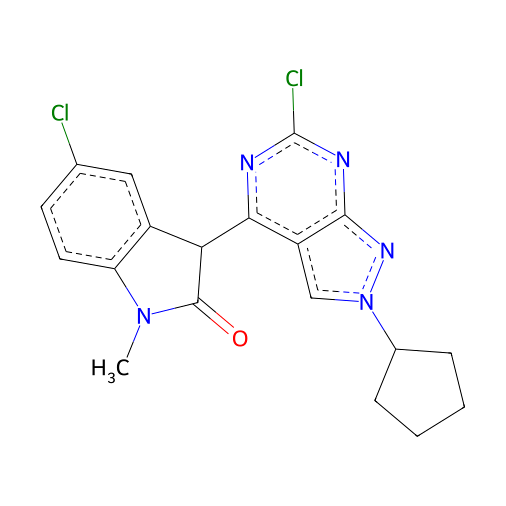 CN1C(=O)C(c2nc(Cl)nc3nn(C4CCCC4)cc23)c2cc(Cl)ccc21